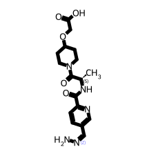 C[C@H](NC(=O)c1ccc(/C=N\N)cn1)C(=O)N1CCC(OCC(=O)O)CC1